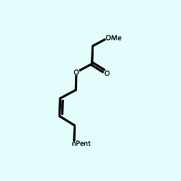 CCCCCC/C=C\COC(=O)COC